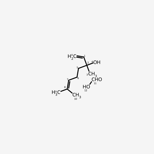 C=CC(C)(O)CCC=C(C)C.O=CO